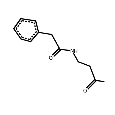 CC(=O)CCNC(=O)Cc1ccccc1